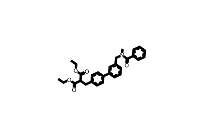 CCOC(=O)C(Cc1ccc(-c2cccc(CN(C)C(=O)c3ccccc3)c2)cc1)C(=O)OCC